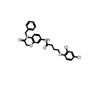 O=C(CCCOc1ccc(Cl)cc1Cl)Nc1ccc2c(c1)OCC(=O)N2Cc1ccccc1